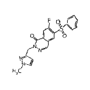 Cn1ccc(Cn2ncc3cc(S(=O)(=O)c4ccccc4)c(F)cc3c2=O)n1